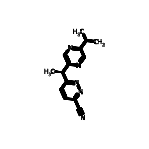 CC(C)c1cnc([C@H](C)c2ccc(C#N)nn2)cn1